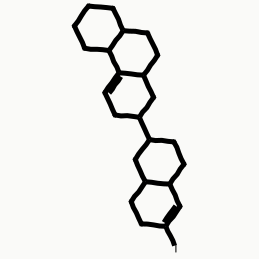 IC1=CC2CCC(C3CC=C4C(CCC5CCCCC45)C3)CC2CC1